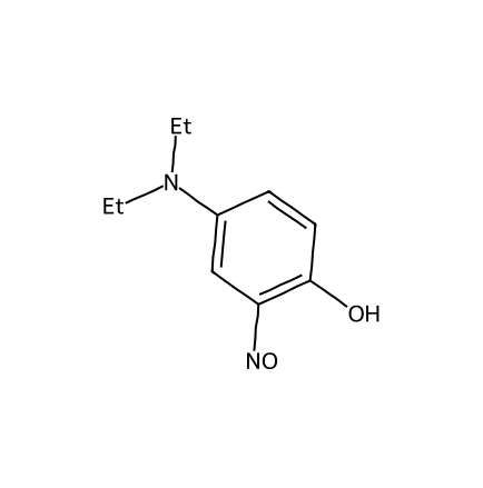 CCN(CC)c1ccc(O)c(N=O)c1